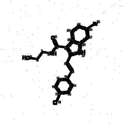 O=C(NCCO)c1c(/C=C/c2ccc(Cl)cc2)[nH]c2cc(Br)ccc12